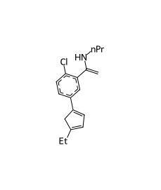 C=C(NCCC)c1cc(C2=CC=C(CC)C2)ccc1Cl